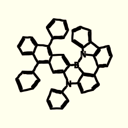 c1ccc(-c2c3ccccc3c(-c3ccccc3)c3cc4c(cc23)B2c3c(cccc3N4c3ccccc3)-c3cccc4c5ccccc5n2c34)cc1